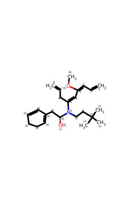 C=C/C=C(\C=C(/CC=C)N(CCC(C)(C)C)[C@@H](O)CC1=CCCC=C1)OC